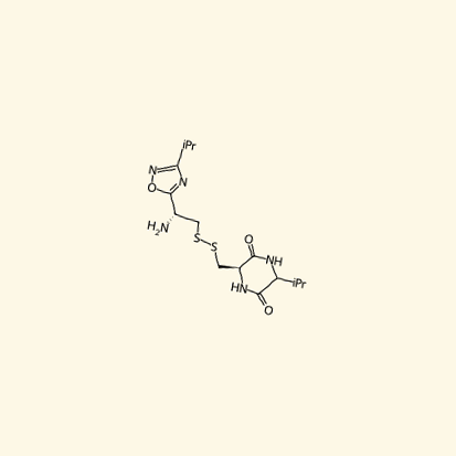 CC(C)c1noc([C@@H](N)CSSC[C@@H]2NC(=O)C(C(C)C)NC2=O)n1